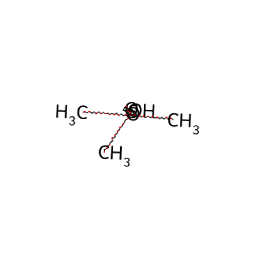 CCCCCCCCCCCCCCCCCCCc1c(CCCCCCCCCCCCCCCCCCC)c(S(=O)(=O)O)c2ccccc2c1CCCCCCCCCCCCCCCCCCC